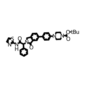 CC(C)(C)OC(=O)N1CCN(c2ccc(-c3ccc4c(c3)C(=O)N(C(C(=O)Nc3nccs3)c3ccccc3)C4)cc2)CC1